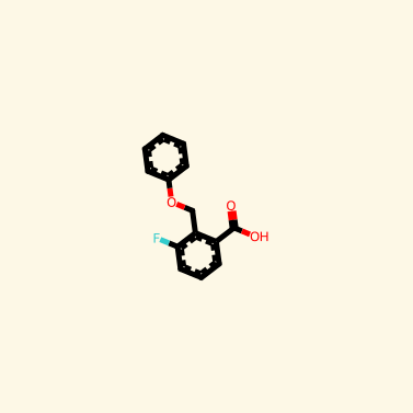 O=C(O)c1cccc(F)c1COc1ccccc1